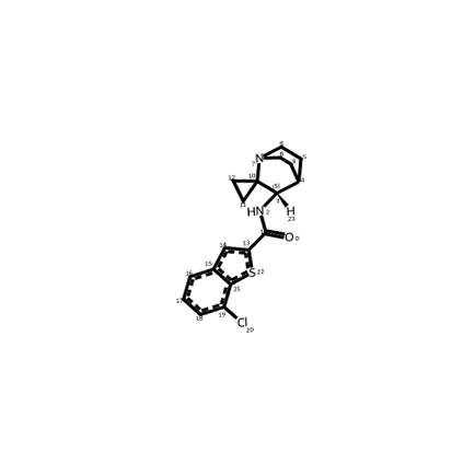 O=C(N[C@H]1C2CCN(CC2)C12CC2)c1cc2cccc(Cl)c2s1